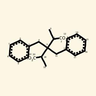 CC(C(=O)O)C(Cc1ccccc1)(Cc1ccccc1)C(C)C(=O)O